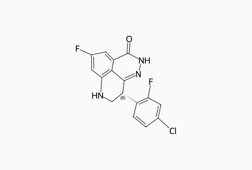 O=c1[nH]nc2c3c(cc(F)cc13)NC[C@H]2c1ccc(Cl)cc1F